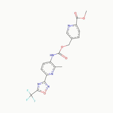 COC(=O)c1ccc(COC(=O)Nc2ccc(-c3noc(C(F)(F)F)n3)nc2C)cn1